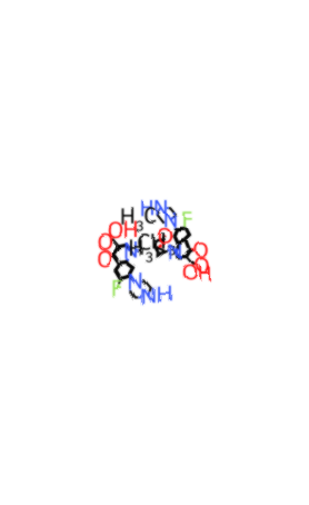 CCn1cc(C(=O)O)c(=O)c2cc(F)c(N3CCNCC3)cc21.COc1c(N2CCNC(C)C2)c(F)cc2c(=O)c(C(=O)O)cn(C3CC3)c12